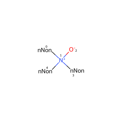 CCCCCCCCC[N+]([O-])(CCCCCCCCC)CCCCCCCCC